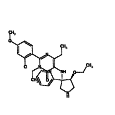 CCO[C@H]1CNC[C@@]1(Nc1c(CC)nc(-c2ccc(OC)cc2Cl)n(CC)c1=O)c1ccccn1